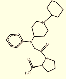 O=C(O)[C@@H]1CCCN1C(=O)CN(c1ccccc1)C1CCN(C2CCCCC2)CC1